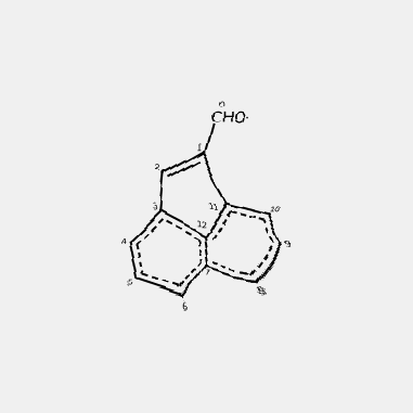 O=[C]C1=Cc2cccc3cccc1c23